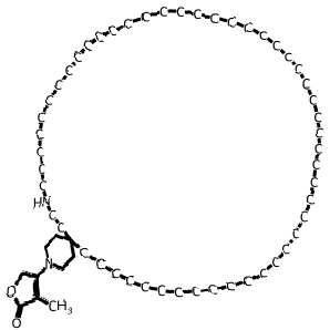 CC1=C(N2CCC3(CCCCCCCCCCCCCCCCCCCCCCCCCCCCCCCCCCCCCCCCCCCCCCCCNCC3)CC2)COC1=O